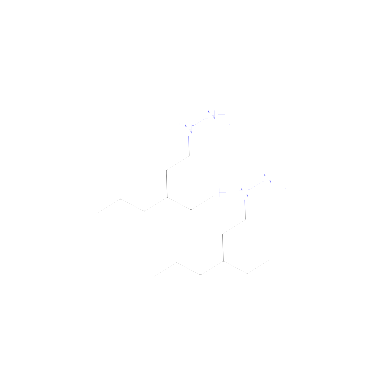 CCCC(CC)CC[16NH]N.CCCC(CC)CC[16NH]N